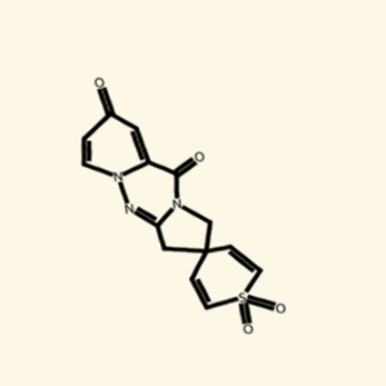 O=c1ccn2nc3n(c(=O)c2c1)CC1(C=CS(=O)(=O)C=C1)C3